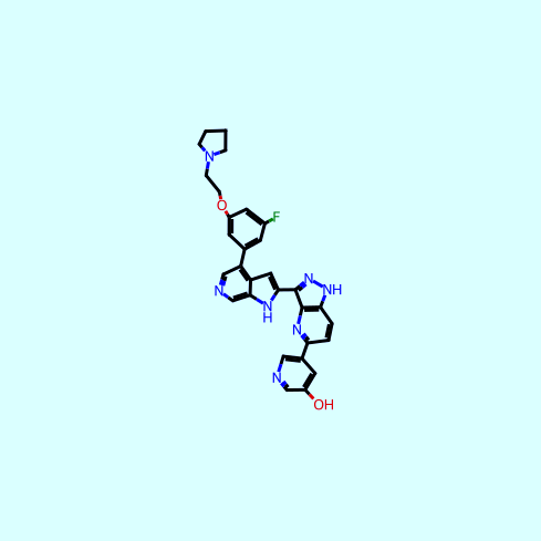 Oc1cncc(-c2ccc3[nH]nc(-c4cc5c(-c6cc(F)cc(OCCN7CCCC7)c6)cncc5[nH]4)c3n2)c1